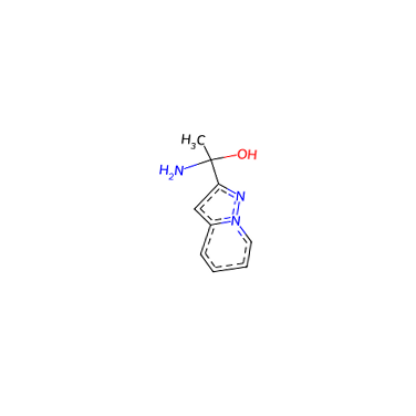 CC(N)(O)c1cc2ccccn2n1